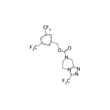 O=C(OCc1cc(C(F)(F)F)cc(C(F)(F)F)c1)N1CCn2c(nnc2C(F)(F)F)C1